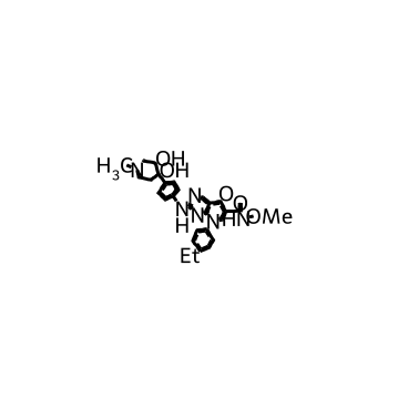 CCc1ccc(-n2cc(C(=O)NOC)c(=O)c3cnc(Nc4ccc([C@]5(O)CCN(C)C[C@H]5O)cc4)nc32)cc1